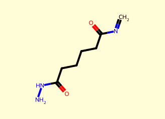 C=NC(=O)CCCCC(=O)NN